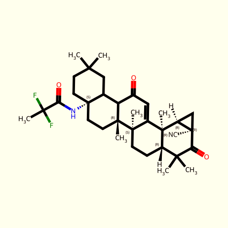 CC1(C)CC[C@]2(NC(=O)C(C)(F)F)CC[C@]3(C)C(C(=O)C=C4[C@@]5(C)[C@H]6C[C@@]6(C#N)C(=O)C(C)(C)[C@@H]5CC[C@]43C)C2C1